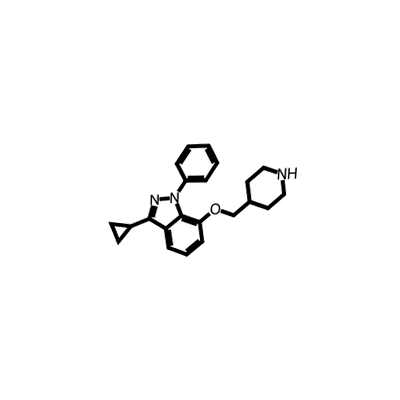 c1ccc(-n2nc(C3CC3)c3cccc(OCC4CCNCC4)c32)cc1